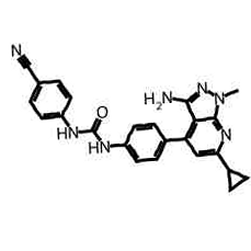 Cn1nc(N)c2c(-c3ccc(NC(=O)Nc4ccc(C#N)cc4)cc3)cc(C3CC3)nc21